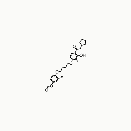 Cc1c(OCCCCOc2ccc(OC=O)cc2F)ccc(C(=O)CC2CCCC2)c1O